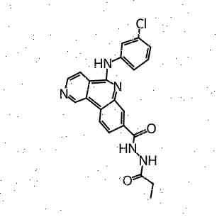 CCC(=O)NNC(=O)c1ccc2c(c1)nc(Nc1cccc(Cl)c1)c1ccncc12